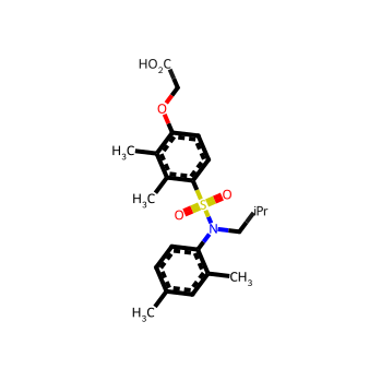 Cc1ccc(N(CC(C)C)S(=O)(=O)c2ccc(OCC(=O)O)c(C)c2C)c(C)c1